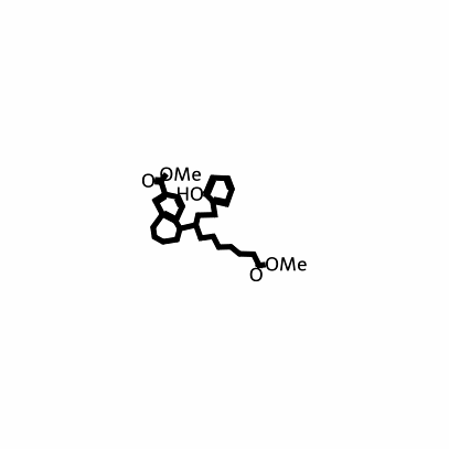 COC(=O)CCCCCCC(CCc1ccccc1O)C1CCCCc2cc(C(=O)OC)ccc21